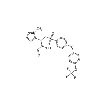 Cn1cccc1C(CS(=O)(=O)c1ccc(Oc2ccc(OC(F)(F)F)cc2)cc1)N(O)C=O